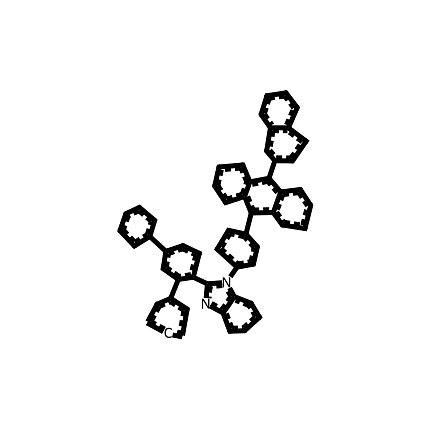 c1ccc(-c2ccc(-c3nc4ccccc4n3-c3ccc(-c4c5ccccc5c(-c5ccc6ccccc6c5)c5ccccc45)cc3)c(-c3ccccc3)c2)cc1